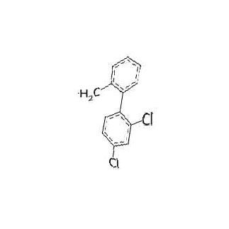 [CH2]c1ccccc1-c1ccc(Cl)cc1Cl